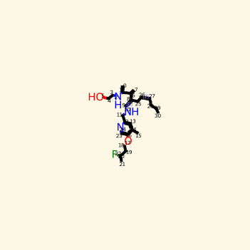 C=C(NCCO)C(=C)/C(=C/NCc1cc(C)c(OCCC(C)F)cn1)C/C=C\CCC